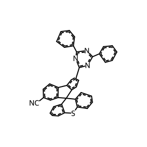 N#Cc1ccc2c(c1)C1(c3ccccc3Sc3ccccc31)c1ccc(-c3nc(-c4ccccc4)nc(-c4ccccc4)n3)cc1-2